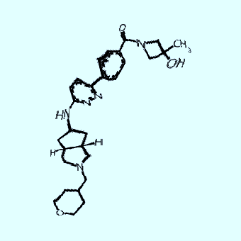 CC1(O)CN(C(=O)c2ccc(-c3ccc(NC4C[C@@H]5CN(CC6CCOCC6)C[C@@H]5C4)nn3)cc2)C1